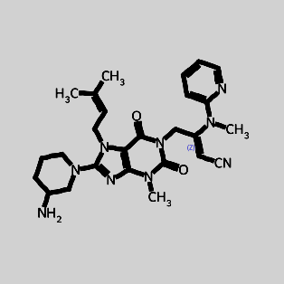 CC(C)=CCn1c(N2CCCC(N)C2)nc2c1c(=O)n(C/C(=C/C#N)N(C)c1ccccn1)c(=O)n2C